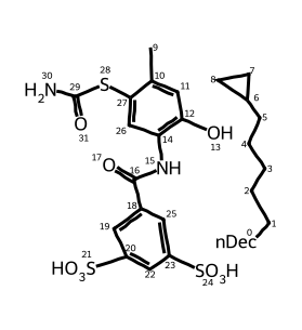 CCCCCCCCCCCCCCCC1CC1.Cc1cc(O)c(NC(=O)c2cc(S(=O)(=O)O)cc(S(=O)(=O)O)c2)cc1SC(N)=O